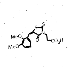 COc1cccc(C=C2SC(=S)N(CCC(=O)O)C2=O)c1OC